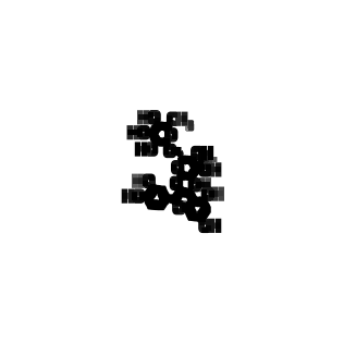 C[C@@H]1O[C@@H](OC[C@H]2OC(Oc3cc4c(O)cc(O)cc4[o+]c3-c3ccc(O)c(O)c3)[C@H](O)[C@@H](O)[C@@H]2O)[C@H](O)[C@H](O)[C@H]1O.[Cl-]